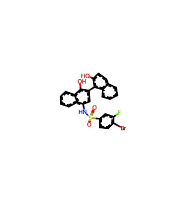 O=S(=O)(Nc1cc(-c2c(O)ccc3ccccc23)c(O)c2ccccc12)c1ccc(Br)c(F)c1